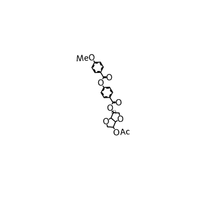 COc1ccc(C(=O)Oc2ccc(C(=O)O[C@H]3COC4C(OC(C)=O)COC43)cc2)cc1